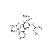 CCC(C)Cc1cc(-c2ccccc2C(C)(C)C(C)C)ncc1SC